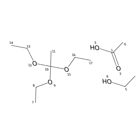 CC(=O)O.CCO.CCOC(C)(OCC)OCC